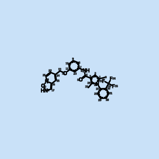 Cc1cc(C(=O)Nc2cccc(OCC3=CC4=CNON4C=C3)c2)c(C)n1-c1ccccc1C(F)(F)F